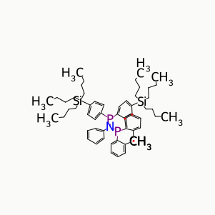 CCCC[Si](CCCC)(CCCC)c1ccc(P(c2ccc([Si](CCCC)(CCCC)CCCC)cc2)N(c2ccccc2)P(c2ccccc2C)c2ccccc2C)cc1